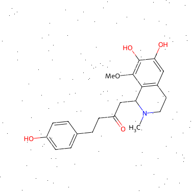 COc1c(O)c(O)cc2c1C(CC(=O)CCc1ccc(O)cc1)N(C)CC2